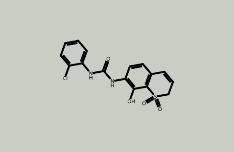 O=C(Nc1ccccc1Cl)Nc1ccc2c(c1O)S(=O)(=O)CC=C2